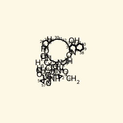 C=C[C@@H]1C[C@]1(NC(=O)[C@@H]1C[C@@H]2CN1C(=O)[C@H](C(C)(C)C)NC(=O)O[C@@H]1CCC[C@H]1CCCCCc1c(nc3ccccc3c1O)O2)C(=O)NS(=O)(=O)C1(COC)CC1